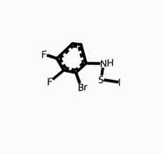 Fc1ccc(NSI)c(Br)c1F